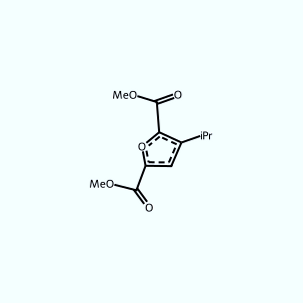 COC(=O)c1cc(C(C)C)c(C(=O)OC)o1